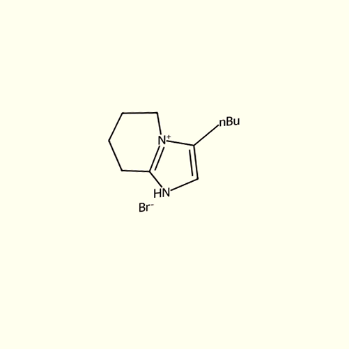 CCCCc1c[nH]c2[n+]1CCCC2.[Br-]